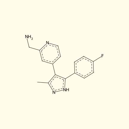 Cc1n[nH]c(-c2ccc(F)cc2)c1-c1ccnc(CN)c1